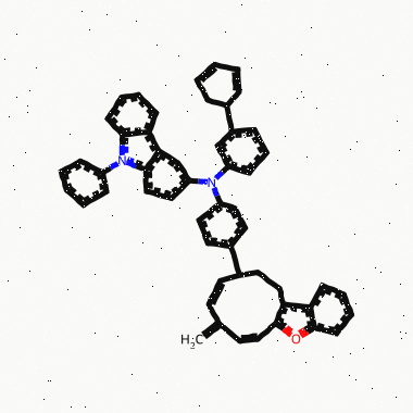 C=C1/C=C\c2oc3ccccc3c2CCC(c2ccc(N(c3cccc(C4C=CC=CC4)c3)c3ccc4c(c3)c3ccccc3n4-c3ccccc3)cc2)/C=C\1